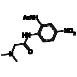 CC(=O)Nc1cc([N+](=O)[O-])ccc1NC(=O)CN(C)C